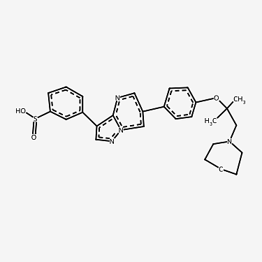 CC(C)(CN1CCCCC1)Oc1ccc(-c2cnc3c(-c4cccc(S(=O)O)c4)cnn3c2)cc1